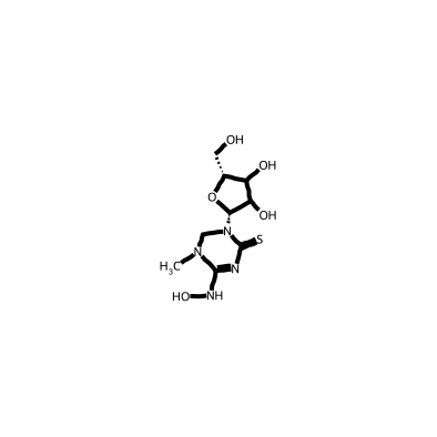 CN1CN([C@@H]2O[C@H](CO)C(O)C2O)C(=S)N=C1NO